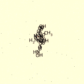 Cc1ccc(N=Nc2c(N)c(/N=N\c3ccc(S(=O)(=O)CCOS(=O)(=O)O)cc3)c(N)c(N=Nc3ccc(SOOCCNCCO)cc3S(=O)(=O)O)c2C(=O)O)cc1